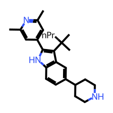 CCCC(C)(C)c1c(-c2cc(C)nc(C)c2)[nH]c2ccc(C3CCNCC3)cc12